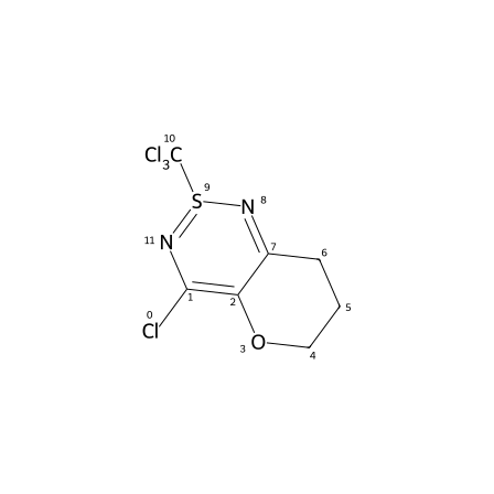 ClC1=C2OCCCC2=NS(C(Cl)(Cl)Cl)=N1